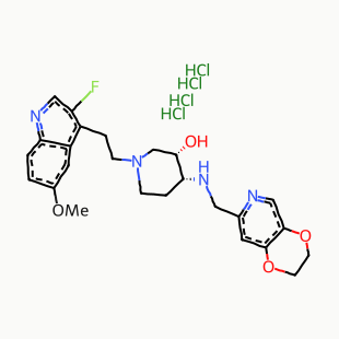 COc1ccc2ncc(F)c(CCN3CC[C@@H](NCc4cc5c(cn4)OCCO5)[C@@H](O)C3)c2c1.Cl.Cl.Cl.Cl